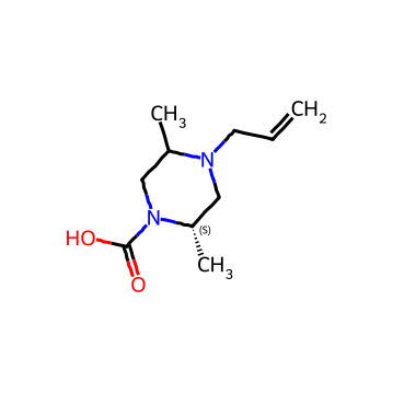 C=CCN1C[C@H](C)N(C(=O)O)CC1C